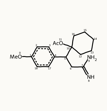 COc1ccc(C(CC(=N)N)C2(OC(C)=O)CCCCC2)cc1